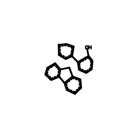 Oc1ccccc1-c1ccccc1.c1ccc2c(c1)Cc1ccccc1-2